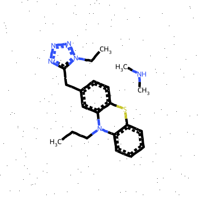 CCCN1c2ccccc2Sc2ccc(Cc3nnnn3CC)cc21.CNC